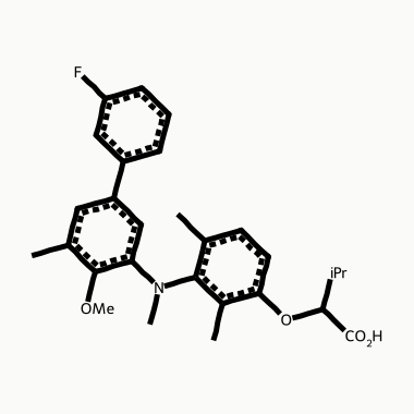 COc1c(C)cc(-c2cccc(F)c2)cc1N(C)c1c(C)ccc(OC(C(=O)O)C(C)C)c1C